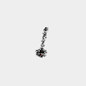 CCC(=O)N(N1C(=O)C=CC1=O)C(O)(COCCOCCOCCOCCOCCO)N1C(=O)CCC1=O